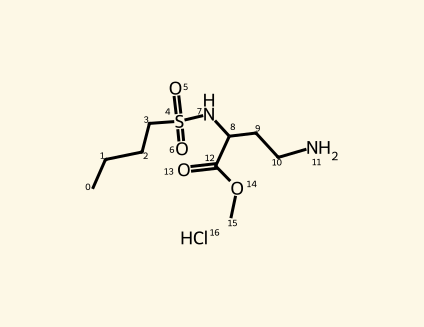 CCCCS(=O)(=O)NC(CCN)C(=O)OC.Cl